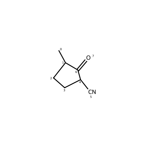 CC1CCC(C#N)C1=O